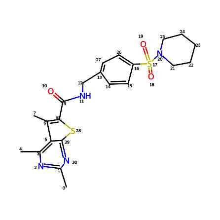 Cc1nc(C)c2c(C)c(C(=O)NCc3ccc(S(=O)(=O)N4CCCCC4)cc3)sc2n1